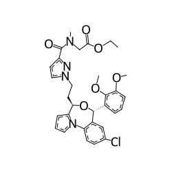 CCOC(=O)CN(C)C(=O)c1ccn(CC[C@H]2O[C@H](c3cccc(OC)c3OC)c3cc(Cl)ccc3-n3cccc32)n1